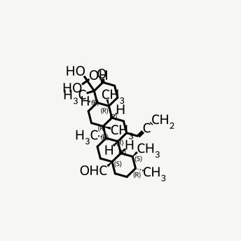 C=C=CC1C[C@@H]2[C@@]3(C)CCC(=O)C(C)(C(O)(O)O)[C@@H]3CC[C@@]2(C)[C@]2(C)CC[C@@]3(C=O)CC[C@@H](C)[C@H](C)[C@H]3[C@@H]12